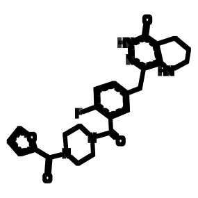 O=C(c1ccco1)N1CCN(C(=O)c2cc(Cc3n[nH]c(=O)c4c3NCCC4)ccc2F)CC1